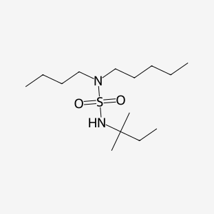 CCCCCN(CCCC)S(=O)(=O)NC(C)(C)CC